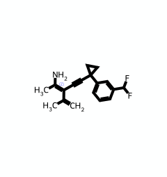 C=C(C)/C(C#CC1(c2cccc(C(F)F)c2)CC1)=C(\C)N